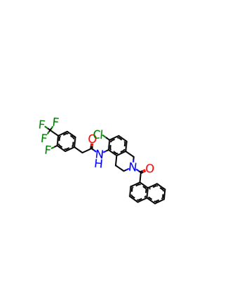 O=C(Cc1ccc(C(F)(F)F)c(F)c1)Nc1c(Cl)ccc2c1CCN(C(=O)c1cccc3ccccc13)C2